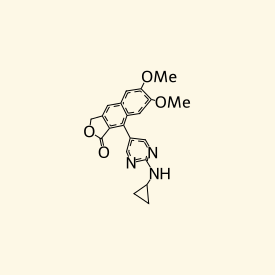 COc1cc2cc3c(c(-c4cnc(NC5CC5)nc4)c2cc1OC)C(=O)OC3